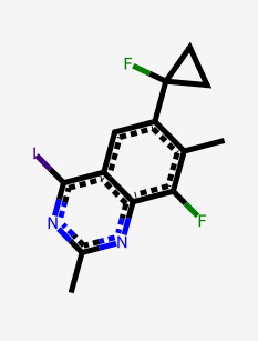 Cc1nc(I)c2cc(C3(F)CC3)c(C)c(F)c2n1